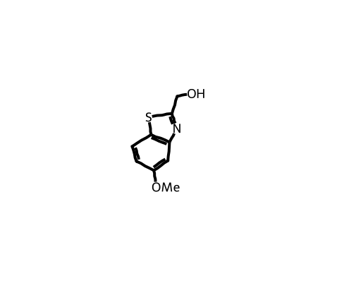 COc1ccc2sc(CO)nc2c1